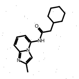 Cc1cn2c(NC(=O)CC3CCCCC3)cccc2n1